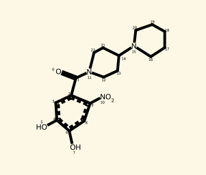 O=C(c1cc(O)c(O)cc1[N+](=O)[O-])N1CCC(N2CCCCC2)CC1